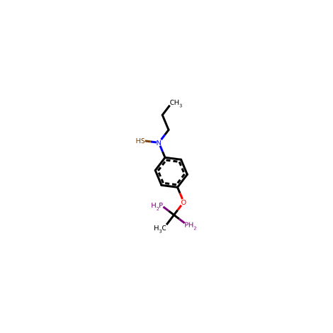 CCCN(S)c1ccc(OC(C)(P)P)cc1